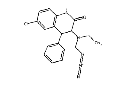 CCN(CN=[N+]=[N-])C1C(=O)Nc2ccc(Cl)cc2C1c1ccccc1